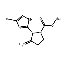 C=C1CCN(C(=O)OC(C)(C)C)[C@@H]1c1nc(Br)c[nH]1